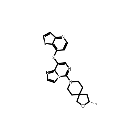 C[C@H]1CC2(CCN(c3ncc(Sc4ccnc5ccsc45)c4nccn34)CC2)CO1